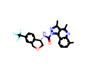 Cc1cccc2c1nc(C)c1c(C)nn(C(=O)N[C@@H]3COCc4cc(C(F)(F)F)ccc43)c12